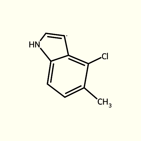 Cc1ccc2[nH]c[c]c2c1Cl